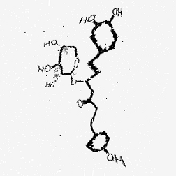 O=C(CCc1ccc(O)cc1)CC(CCc1ccc(O)c(O)c1)O[C@@H]1OC[C@@H](O)[C@H](O)[C@H]1O